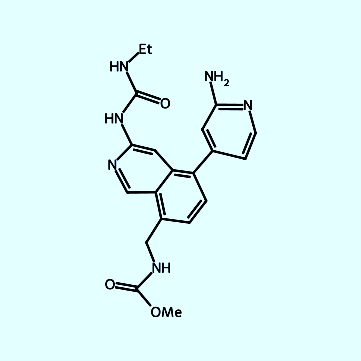 CCNC(=O)Nc1cc2c(-c3ccnc(N)c3)ccc(CNC(=O)OC)c2cn1